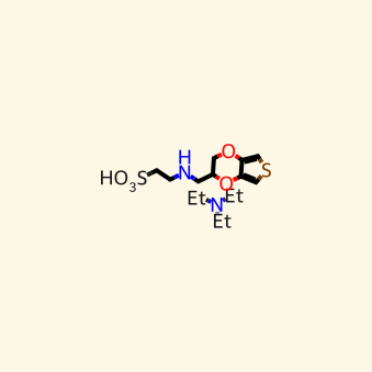 CCN(CC)CC.O=S(=O)(O)CCNCC1COc2cscc2O1